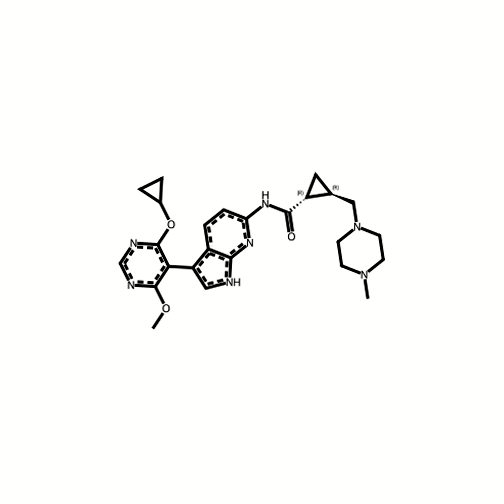 COc1ncnc(OC2CC2)c1-c1c[nH]c2nc(NC(=O)[C@@H]3C[C@H]3CN3CCN(C)CC3)ccc12